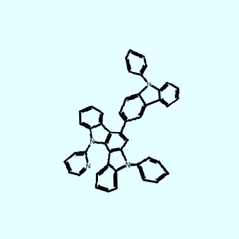 c1ccc(-n2c3ccccc3c3cc(-c4cc5c(c6ccccc6n5-c5ccccc5)c5c4c4ccccc4n5-c4ccccn4)ccc32)cc1